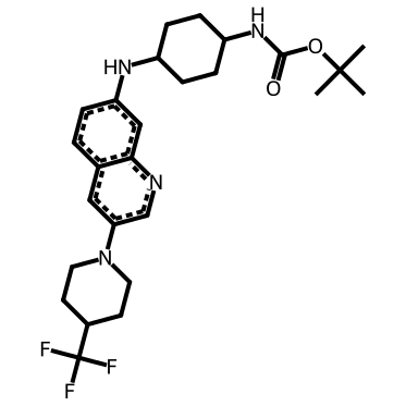 CC(C)(C)OC(=O)NC1CCC(Nc2ccc3cc(N4CCC(C(F)(F)F)CC4)cnc3c2)CC1